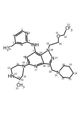 Cc1ccnc(Nc2nc(N3CCN[C@@H](C)C3)nc3c(CN4CCCCC4)nn(CCOCC(F)(F)F)c23)c1